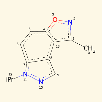 Cc1noc2ccc3c(cnn3C(C)C)c12